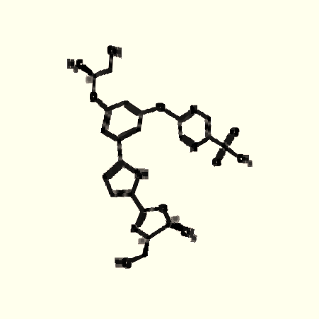 C[C@@H]1OC(c2ccc(-c3cc(Oc4cnc(S(C)(=O)=O)cn4)cc(O[C@@H](C)CO)c3)[nH]2)=N[C@@H]1CO